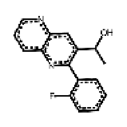 CC(O)c1cc2ncccc2nc1-c1ccccc1F